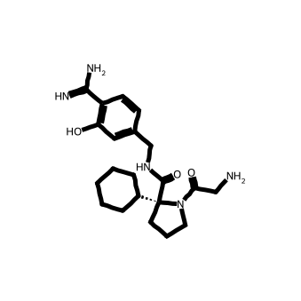 N=C(N)c1ccc(CNC(=O)[C@]2(C3CCCCC3)CCCN2C(=O)CN)cc1O